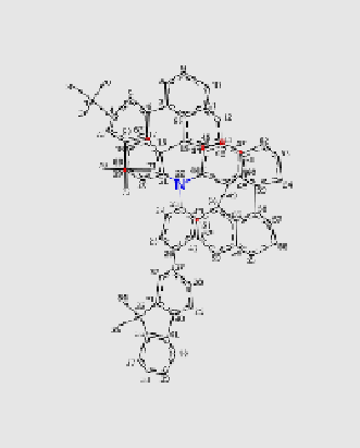 CC(C)(C)c1cc(-c2cccc3cccc(-c4ccccc4N(c4ccc(-c5ccc6c(c5)C(C)(C)c5ccccc5-6)cc4)c4ccccc4-c4cccc5cccc(-c6ccccc6)c45)c23)cc(C(C)(C)C)c1